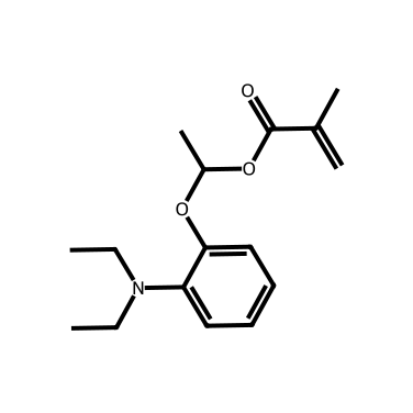 C=C(C)C(=O)OC(C)Oc1ccccc1N(CC)CC